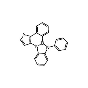 c1ccc(N2B3c4ccccc4-c4sccc4N3c3ccccc32)cc1